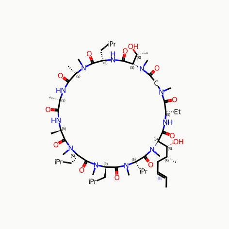 C/C=C/C[C@@H](C)[C@@H](O)[C@H]1C(=O)N[C@@H](CC)C(=O)N(C)CC(=O)N(C)[C@@H]([C@@H](C)O)C(=O)N[C@@H](CC(C)C)C(=O)N(C)[C@@H](C)C(=O)N[C@@H](C)C(=O)N[C@H](C)C(=O)N(C)[C@@H](CC(C)C)C(=O)N(C)[C@H](CC(C)C)C(=O)N(C)[C@@H](C(C)C)C(=O)N1C